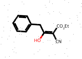 CCOC(=O)/C(C#N)=C(/O)Cc1ccccc1